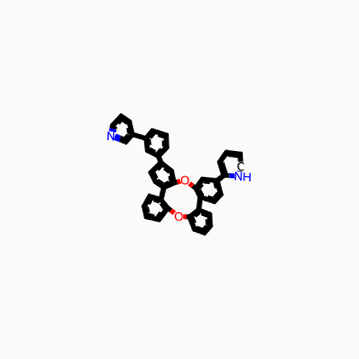 C1=CCNC(c2ccc3c(c2)Oc2cc(-c4cccc(-c5cccnc5)c4)ccc2-c2ccccc2Oc2ccccc2-3)=C1